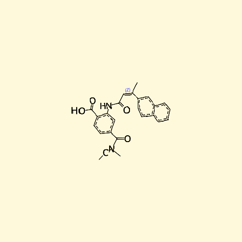 CCN(C)C(=O)c1ccc(C(=O)O)c(NC(=O)/C=C(/C)c2ccc3ccccc3c2)c1